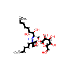 CCCCCCCCCCCCCC[C@@H](O)[C@@H](O)[C@H](COC1OC(CO)C(O)C(O)C1O)NC1(CCCCCCCCCCCCCC)COC1